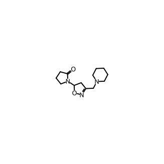 O=C1CCCN1C1CC(CN2CCCCC2)=NO1